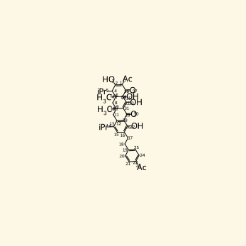 CC(=O)C1=C(O)C(C(C)C)[C@@]2(C)C[C@@]3(C)Cc4c(C(C)C)cc(CCc5ccc(C(C)=O)cc5)c(O)c4C(=O)C3=C(O)[C@@]2(O)C1=O